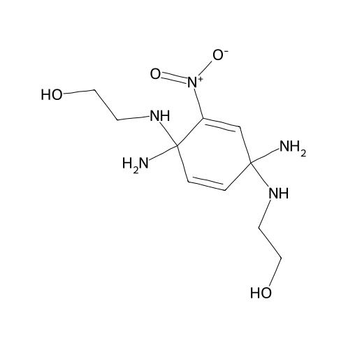 NC1(NCCO)C=CC(N)(NCCO)C([N+](=O)[O-])=C1